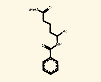 COC(=O)CCCC(NC(=O)c1ccccc1)C(C)=O